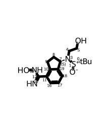 CC(C)(C)[S+]([O-])N(CCO)[C@H]1CCc2c(C(=N)NO)cccc21